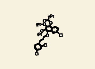 CCCC(=O)Oc1c(OC(C)C)c(OC(C)C)c(OCCCc2ccc(Cl)cc2Cl)c2cc(Cl)ccc12